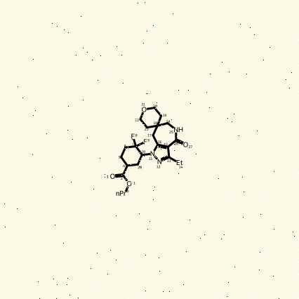 CCCOC(=O)C1CCC(F)(F)C(n2nc(CC)c3c2CC2(CCOCC2)CNC3=O)C1